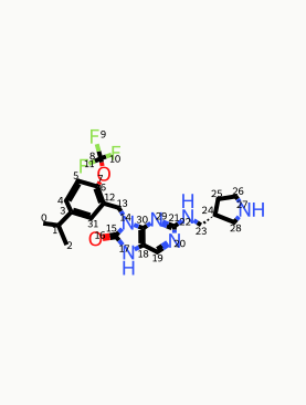 CC(C)c1ccc(OC(F)(F)F)c(Cn2c(=O)[nH]c3cnc(NC[C@@H]4CCNC4)nc32)c1